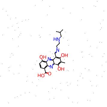 Cc1c(O)c(C=NCCNCC(C)C)c2nc3c(O)ccc(C(=O)O)c3nc2c1O